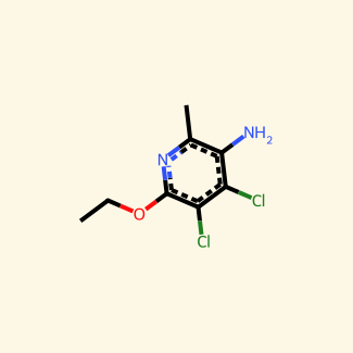 CCOc1nc(C)c(N)c(Cl)c1Cl